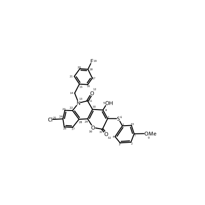 COc1cccc(Sc2c(O)c3c(=O)n(Cc4ccc(F)cc4)c4cc(Cl)ccc4c3oc2=O)c1